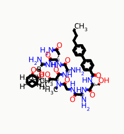 CCCCc1ccc(-c2ccc(C(=O)N[C@H](CO)C(=O)N[C@H](N)C(=O)NCC(=O)N(C)[C@H](C(=O)N[C@@H](N)C(=O)N[C@@H](CC(N)=O)C(=O)N[C@@H](N)B3OC4C[C@@H]5C[C@@H](C5(C)C)[C@]4(C)O3)[C@@H](C)O)cc2)cc1